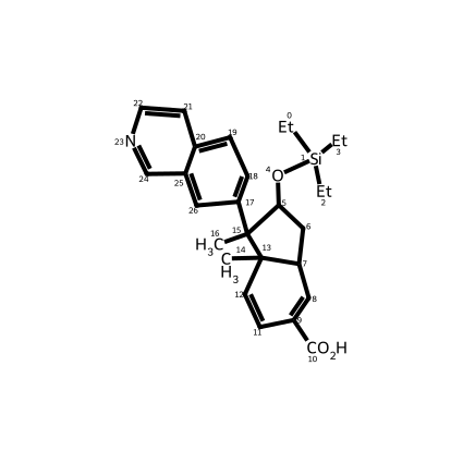 CC[Si](CC)(CC)OC1CC2C=C(C(=O)O)C=CC2(C)C1(C)c1ccc2ccncc2c1